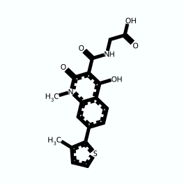 Cc1ccsc1-c1ccc2c(O)c(C(=O)NCC(=O)O)c(=O)n(C)c2c1